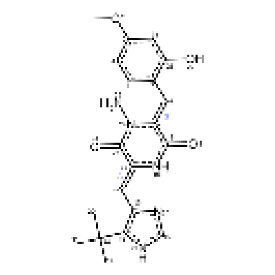 COc1ccc(/C=c2/c(=O)[nH]/c(=C\c3nc[nH]c3C(C)(C)C)c(=O)n2N)c(O)c1